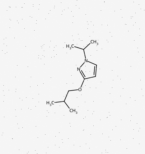 CC(C)COc1ccn(C(C)C)n1